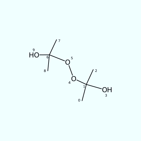 CC(C)(O)OOC(C)(C)O